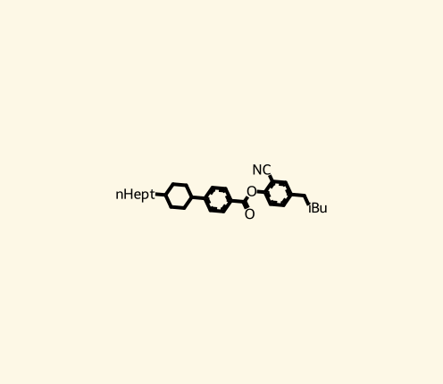 CCCCCCCC1CCC(c2ccc(C(=O)Oc3ccc(CC(C)CC)cc3C#N)cc2)CC1